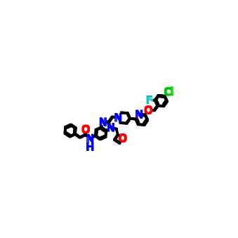 O=C(Cc1ccccc1)Nc1ccc2c(c1)nc(CN1CCC(c3cccc(OCc4ccc(Cl)cc4F)n3)CC1)n2C[C@@H]1CCO1